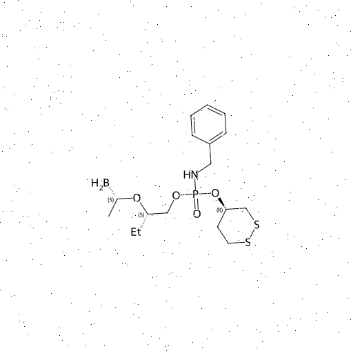 B[C@@H](C)O[C@@H](CC)COP(=O)(NCc1ccccc1)O[C@@H]1CCSSC1